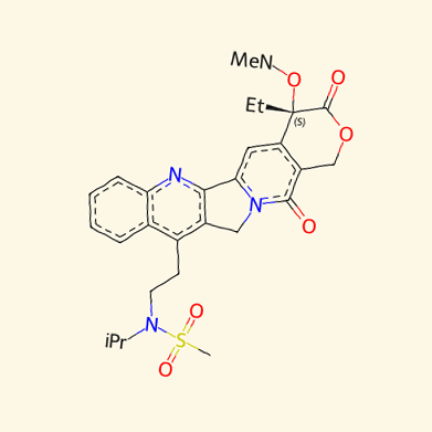 CC[C@@]1(ONC)C(=O)OCc2c1cc1n(c2=O)Cc2c-1nc1ccccc1c2CCN(C(C)C)S(C)(=O)=O